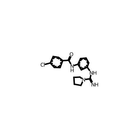 N=C(Nc1cccc(NC(=O)c2ccc(Cl)cc2)c1)N1CCCC1